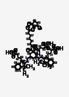 CC1(C)C(/C=C/C2=CC(=C/C=C3/N(CCCS(=O)(=O)O)c4ccccc4C3(C)C)/CC(C(=O)NCCCCCC(=O)ON3C(=O)CCC3=O)(C(=O)NCCS(=O)(=O)O)C2)=[N+](CCCS(=O)(=O)O)c2ccccc21